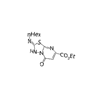 CCCCCCN=c1[nH]n2c(=O)cc(C(=O)OCC)nc2s1